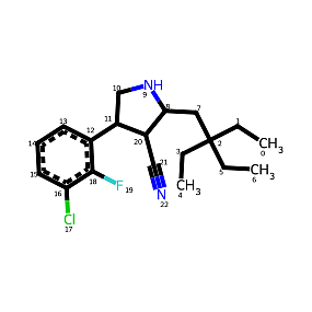 CCC(CC)(CC)CC1NCC(c2cccc(Cl)c2F)C1C#N